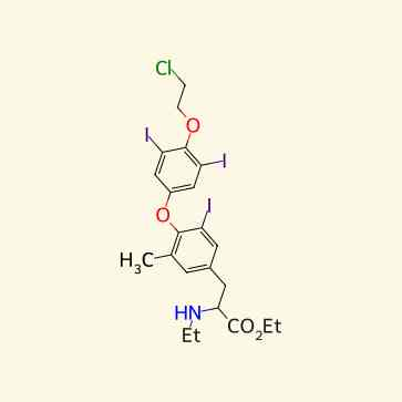 CCNC(Cc1cc(C)c(Oc2cc(I)c(OCCCl)c(I)c2)c(I)c1)C(=O)OCC